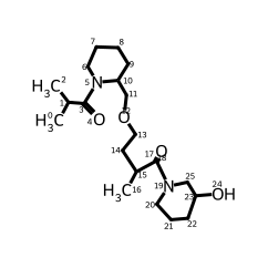 CC(C)C(=O)N1CCCCC1COCCC(C)C(=O)N1CCCC(O)C1